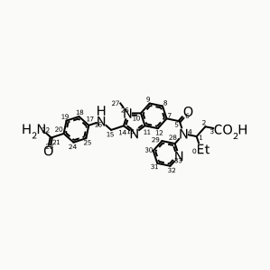 CCC(CC(=O)O)N(C(=O)c1ccc2c(c1)nc(CNc1ccc(C(N)=O)cc1)n2C)c1ccccn1